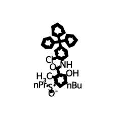 CCCCc1cc([S+]([O-])CCC)c(C)c(C(=O)Nc2ccc(C(c3ccccc3)(c3ccccc3)c3ccccc3)cc2Cl)c1O